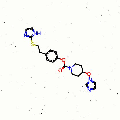 O=C(Oc1ccc(CCSc2ncc[nH]2)cc1)N1CCC(On2ccnc2)CC1